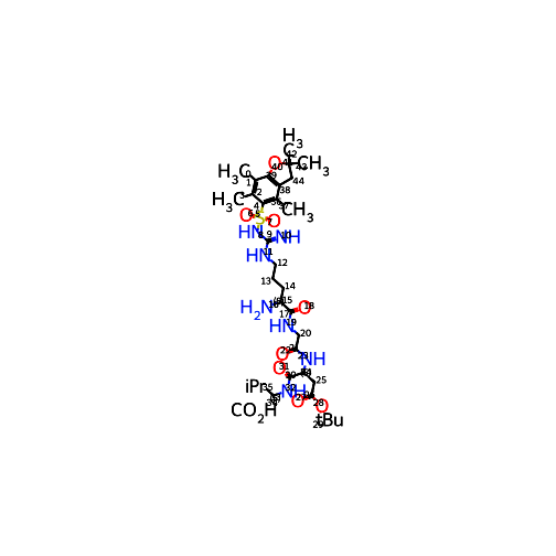 Cc1c(C)c(S(=O)(=O)NC(=N)NCCC[C@H](N)C(=O)NCC(=O)N[C@@H](CC(=O)OC(C)(C)C)C(=O)N[C@H](C(=O)O)C(C)C)c(C)c2c1OC(C)(C)C2